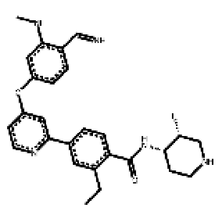 CCc1cc(-c2cc(Oc3ccc(C=N)c(NC)c3)ccn2)ccc1C(=O)N[C@H]1CCNC[C@H]1F